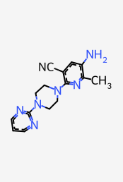 Cc1nc(N2CCN(c3ncccn3)CC2)c(C#N)cc1N